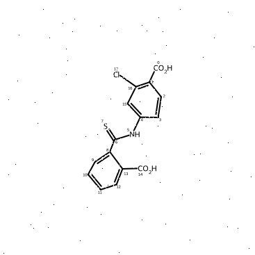 O=C(O)c1ccc(NC(=S)c2ccccc2C(=O)O)cc1Cl